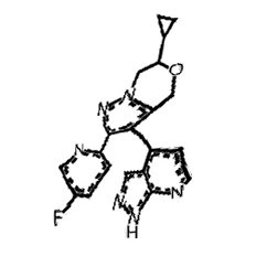 Fc1ccc(-c2nn3c(c2-c2ccnc4[nH]ncc24)COC(C2CC2)C3)nc1